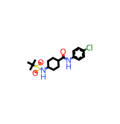 CC(C)(C)S(=O)(=O)NC1CCC(C(=O)Nc2ccc(Cl)cc2)CC1